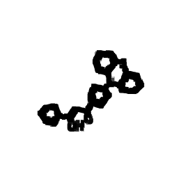 O=C(C=C(O)c1ccccc1)c1ccc(N2c3ccccc3Sc3ccccc32)cc1